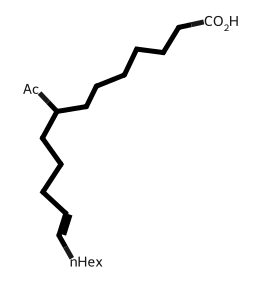 CCCCCCC=CCCCC(CCCCCCC(=O)O)C(C)=O